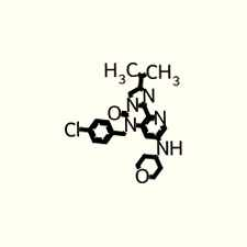 CC(C)C1CN2C(=O)N(Cc3ccc(Cl)cc3)c3cc(NC4CCOCC4)cnc3C2=N1